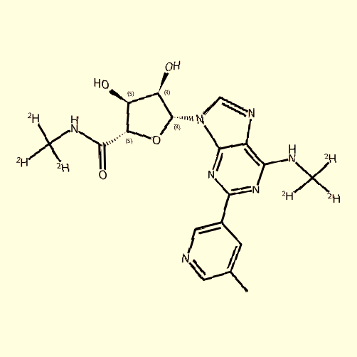 [2H]C([2H])([2H])NC(=O)[C@H]1O[C@@H](n2cnc3c(NC([2H])([2H])[2H])nc(-c4cncc(C)c4)nc32)[C@H](O)[C@@H]1O